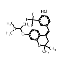 CC(Oc1ccc2c(c1)OC(C)(C)C/C2=C/c1cccc(C(F)(F)F)c1)N(C)C.Cl